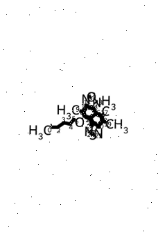 CCCCCCOc1c(C)c2nonc2c2c(C)c(C)c3nsnc3c12